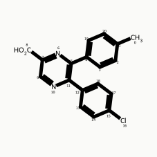 Cc1ccc(-c2nc(C(=O)O)cnc2-c2ccc(Cl)cc2)cc1